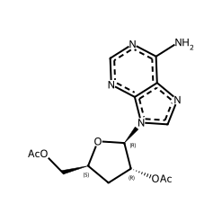 CC(=O)OC[C@@H]1C[C@@H](OC(C)=O)[C@H](n2cnc3c(N)ncnc32)O1